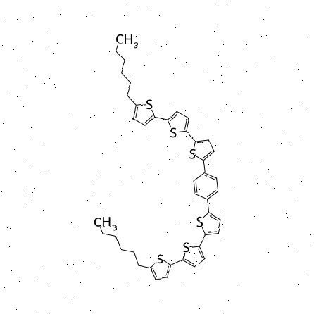 CCCCCCc1ccc(-c2ccc(-c3ccc(-c4ccc(-c5ccc(-c6ccc(-c7ccc(CCCCCC)s7)s6)s5)cc4)s3)s2)s1